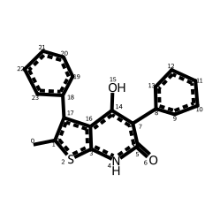 Cc1sc2[nH]c(=O)c(-c3ccccc3)c(O)c2c1-c1ccccc1